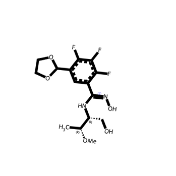 CO[C@H](C)[C@@H](CO)N/C(=N\O)c1cc(C2OCCO2)c(F)c(F)c1F